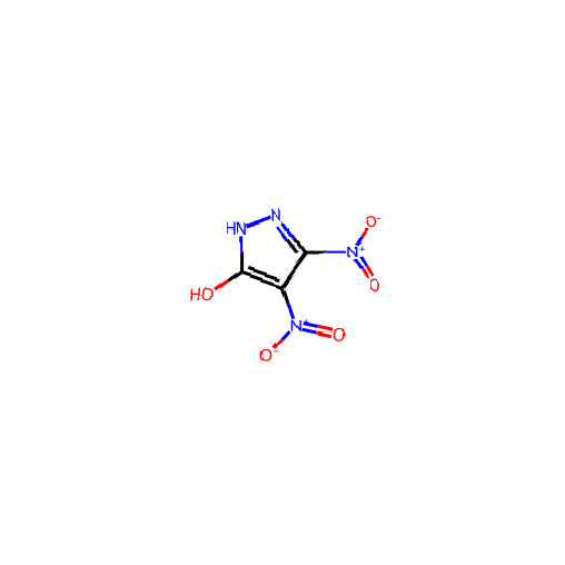 O=[N+]([O-])c1n[nH]c(O)c1[N+](=O)[O-]